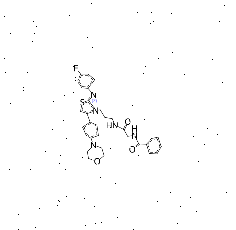 O=C(CNC(=O)c1ccccc1)NCCCn1c(-c2ccc(N3CCOCC3)cc2)cs/c1=N\c1ccc(F)cc1